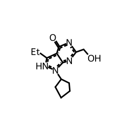 CCc1[nH]n(C2CCCC2)c2nc(CO)nc(=O)c1-2